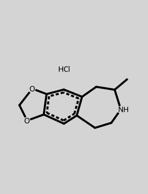 CC1Cc2cc3c(cc2CCN1)OCO3.Cl